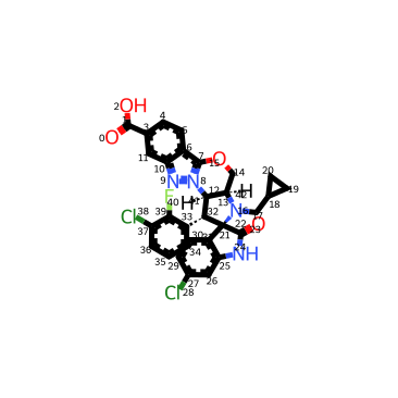 O=C(O)c1ccc2c3n(nc2c1)[C@H]1[C@@H](CO3)N(CC2CC2)[C@]2(C(=O)Nc3cc(Cl)ccc32)[C@@H]1c1cccc(Cl)c1F